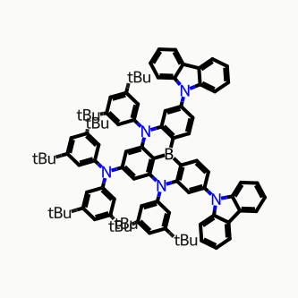 CC(C)(C)c1cc(N(c2cc(C(C)(C)C)cc(C(C)(C)C)c2)c2cc3c4c(c2)N(c2cc(C(C)(C)C)cc(C(C)(C)C)c2)c2cc(-n5c6ccccc6c6ccccc65)ccc2B4c2ccc(-n4c5ccccc5c5ccccc54)cc2N3c2cc(C(C)(C)C)cc(C(C)(C)C)c2)cc(C(C)(C)C)c1